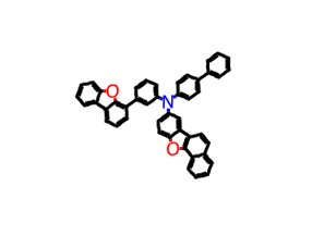 c1ccc(-c2ccc(N(c3cccc(-c4cccc5c4oc4ccccc45)c3)c3ccc4oc5c6ccccc6ccc5c4c3)cc2)cc1